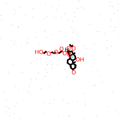 CC1(C)O[C@@H]2CC3C4CCC5=CC(=O)C=CC5(C)[C@@]4(F)[C@@H](O)CC3(C)[C@]2(C(=O)COC(=O)COCCOCCO)O1